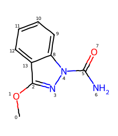 COc1nn(C(N)=O)c2c[c]ccc12